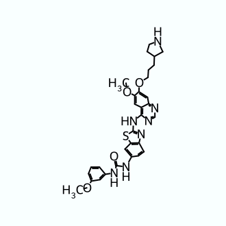 COc1cccc(NC(=O)Nc2ccc3nc(Nc4ncnc5cc(OCCCC6CCNC6)c(OC)cc45)sc3c2)c1